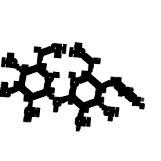 [N-]=[N+]=N[C@H]1[C@H](O)[C@@H](O)[C@@H](O[C@H]2O[C@H](CO)[C@@H](O)[C@H](O)[C@H]2O)O[C@@H]1CO